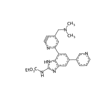 CCOC(=O)Nc1nc2cc(-c3cccnc3)cc(-c3cc(CN(C)C)c#cn3)c2[nH]1